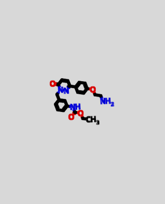 CCOC(=O)Nc1cccc(Cn2nc(-c3ccc(OCCN)cc3)ccc2=O)c1